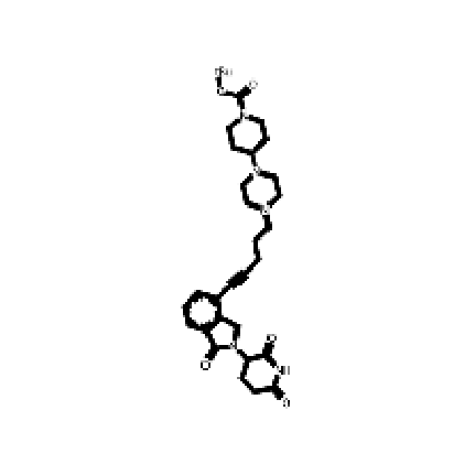 CC(C)(C)OC(=O)N1CCC(N2CCN(CCCC#Cc3cccc4c3CN(C3CCC(=O)NC3=O)C4=O)CC2)CC1